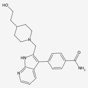 NC(=O)c1ccc(-c2c(CN3CCC(CCO)CC3)[nH]c3ncccc23)cc1